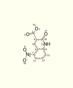 COC(=O)c1cc2c([N+](=O)[O-])cccc2[nH]c1=O